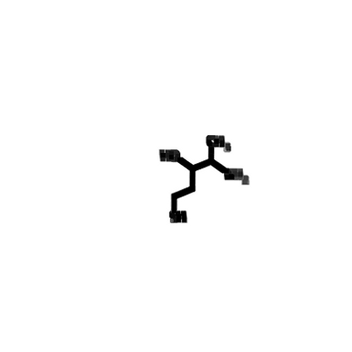 CC(N)C(O)CCS